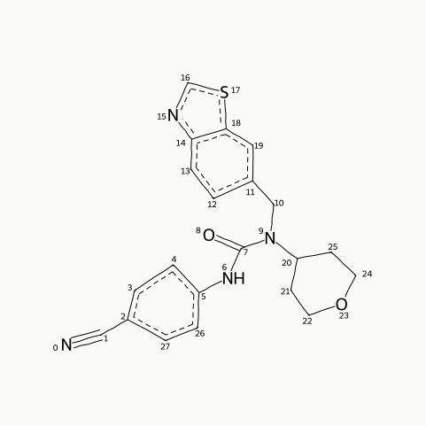 N#Cc1ccc(NC(=O)N(Cc2ccc3ncsc3c2)C2CCOCC2)cc1